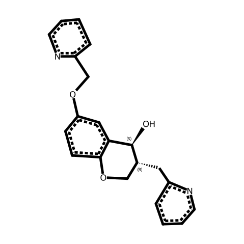 O[C@@H]1c2cc(OCc3ccccn3)ccc2OC[C@H]1Cc1ccccn1